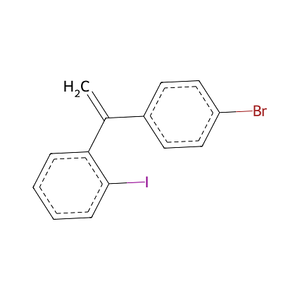 C=C(c1ccc(Br)cc1)c1ccccc1I